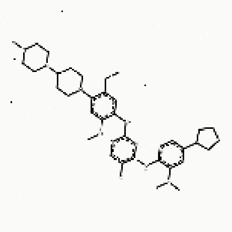 CCc1cc(Nc2ncc(Cl)c(Nc3ccc(C4CCCC4)cc3P(C)C)n2)c(OC)cc1N1CCC(N2CCN(C)CC2)CC1